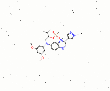 COc1cc(OC)cc(N(CC(OS(C)(=O)=O)C(C)C)c2ccc3ncc(-c4cnn(C)c4)nc3c2)c1